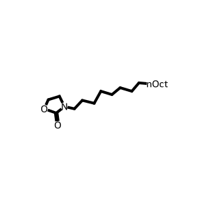 CCCCCCCCCCCCCCCCN1CCOC1=O